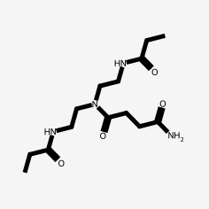 CCC(=O)NCCN(CCNC(=O)CC)C(=O)CCC(N)=O